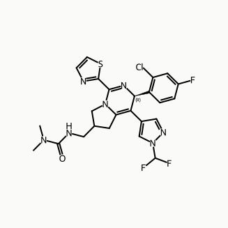 CN(C)C(=O)NCC1CC2=C(c3cnn(C(F)F)c3)[C@H](c3ccc(F)cc3Cl)N=C(c3nccs3)N2C1